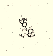 Cc1c[nH]c2ncnc(Nc3ccc4[nH]ncc4c3)c12